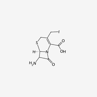 NC1C(=O)N2C(C(=O)O)=C(CI)CS[C@H]12